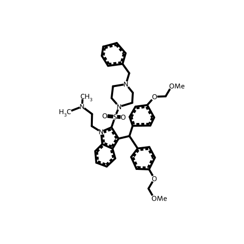 COCOc1ccc(C(c2ccc(OCOC)cc2)c2c(S(=O)(=O)N3CCN(Cc4ccccc4)CC3)n(CCN(C)C)c3ccccc23)cc1